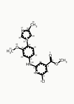 COC(=O)c1cc(Cl)nc(Nc2ccc(-n3cnc(C)c3)c(OC)c2)c1